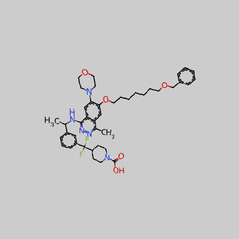 Cc1nnc(NC(C)c2cccc(C(F)(F)C3CCN(C(=O)O)CC3)c2)c2cc(N3CCOCC3)c(OCCCCCCCOCc3ccccc3)cc12